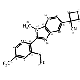 CCSc1cc(C(F)(F)F)cnc1-c1nc2cc(C3(C#N)CCC3)cnc2n1C